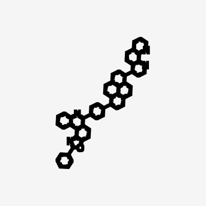 c1ccc(-c2nc3c(ccc4c(-c5ccc(-c6ccc7ccc8c(-c9ccnc%10c9ccc9cccnc9%10)ccc9ccc6c7c98)cc5)nc5ccccc5c43)o2)cc1